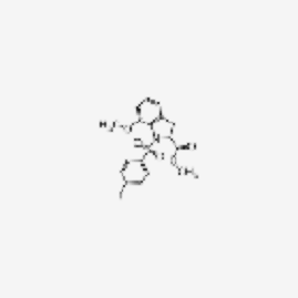 COC(=O)C1Cc2cccc(OC)c2N1S(=O)(=O)c1ccc(I)cc1